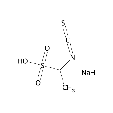 CC(N=C=S)S(=O)(=O)O.[NaH]